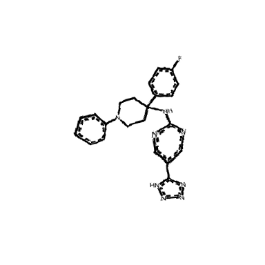 Fc1ccc(C2(Nc3ncc(-c4nnn[nH]4)cn3)CCN(c3ccccc3)CC2)cc1